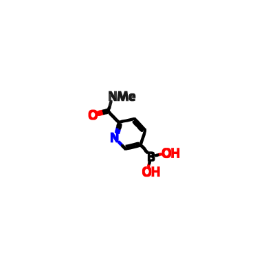 CNC(=O)c1ccc(B(O)O)cn1